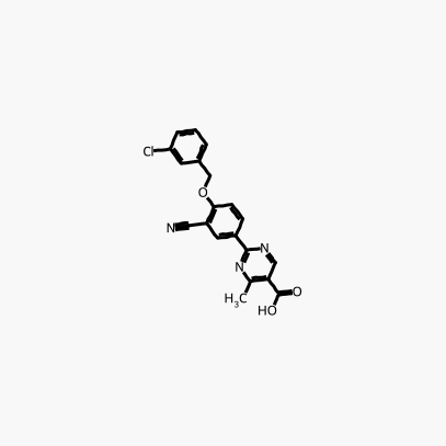 Cc1nc(-c2ccc(OCc3cccc(Cl)c3)c(C#N)c2)ncc1C(=O)O